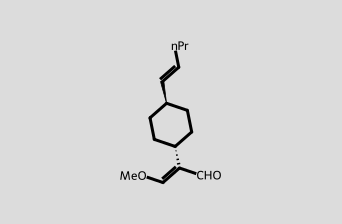 CCC/C=C/[C@H]1CC[C@H](/C(C=O)=C\OC)CC1